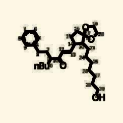 CCCCC(CCc1ccccc1)C(=O)C=CC1CCC2(OCCO2)C1CCCCCCCO